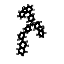 c1cc(-c2ccc(N(c3ccc(-c4cccc5oc6ccccc6c45)cc3)c3ccc4oc5ccccc5c4c3)cc2)cc(-c2ccc3ccccc3c2)c1